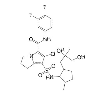 CC1CCC(CC(C)(O)CO)C1NS(=O)(=O)c1c(Cl)c(C(=O)Nc2ccc(F)c(F)c2)n2c1CCC2